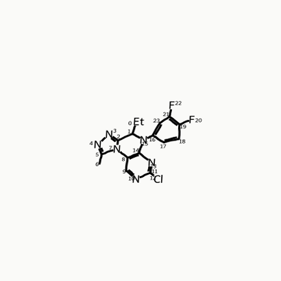 CCC1c2nnc(C)n2-c2cnc(Cl)nc2N1c1ccc(F)c(F)c1